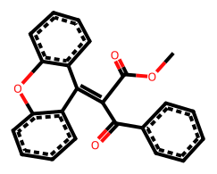 COC(=O)C(C(=O)c1ccccc1)=C1c2ccccc2Oc2ccccc21